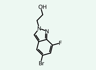 OCCn1cc2cc(Br)cc(F)c2n1